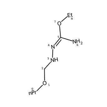 CCCOCN/N=C(\N)OCC